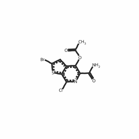 CC(=O)Oc1c(C(N)=O)nc(Cl)c2sc(Br)cc12